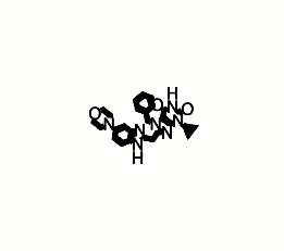 O=c1[nH]c(=O)n(C2CC2)c2nc(Cc3nc4cc(N5CCOCC5)ccc4[nH]3)n(Cc3ccccc3)c12